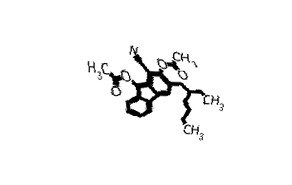 CCCCC(CC)Cc1cc2c(c(C#N)c1OC(C)=O)C(OC(C)=O)c1ccccc1-2